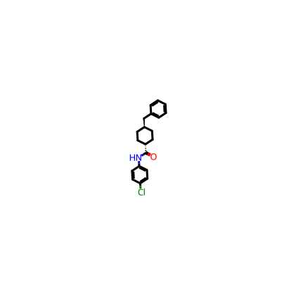 O=C(Nc1ccc(Cl)cc1)[C@H]1CC[C@H](Cc2ccccc2)CC1